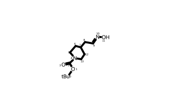 CC(C)(C)OC(=O)N1CCC(CC=NO)CC1